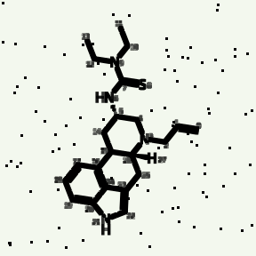 C=CCN1C[C@@H](NC(=S)N(CC)CC)CC2c3cccc4[nH]cc(c34)C[C@H]21